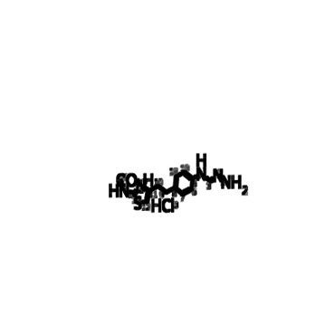 Cl.NN=CNc1ccc(CCc2csc(NC(=O)O)n2)cc1